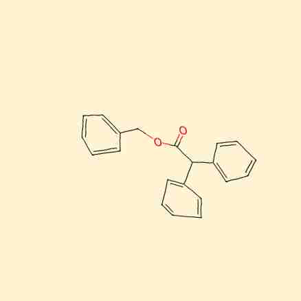 O=C(OCc1ccccc1)C(c1ccccc1)c1ccccc1